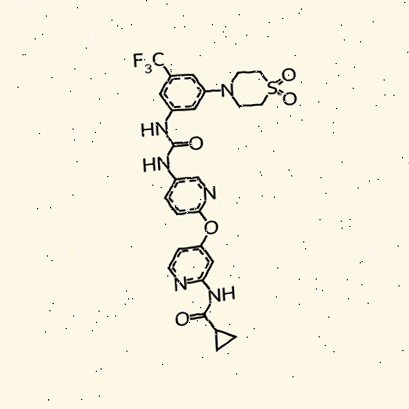 O=C(Nc1ccc(Oc2ccnc(NC(=O)C3CC3)c2)nc1)Nc1cc(N2CCS(=O)(=O)CC2)cc(C(F)(F)F)c1